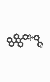 c1cc(-c2ccncc2)cc(-n2nc3ccc(-c4c5ccccc5c(-c5cccc6ccccc56)c5ccccc45)cc3n2)c1